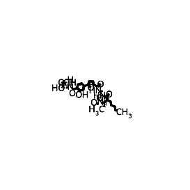 CCCCCC(C(=O)NCNC(=O)c1ccc(-c2ccc(C(=O)NCP(=O)(O)O)c(O)c2)o1)[C@@H](CC)N(O)C=O